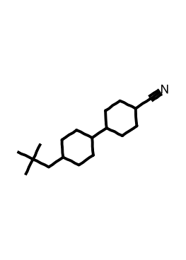 CC(C)(C)CC1CCC(C2CCC(C#N)CC2)CC1